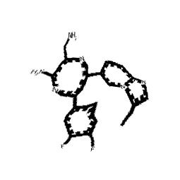 Cc1cnc2ccc(-c3nc(CN)c(N)nc3-c3ccc(F)c(F)c3)cn12